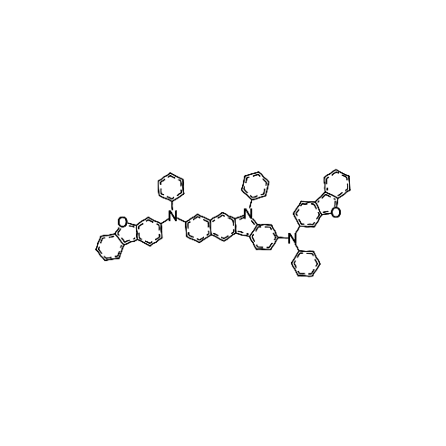 c1ccc(N(c2ccc3cc4c5ccc(N(c6ccccc6)c6ccc7c(c6)oc6ccccc67)cc5n(-c5ccccc5)c4cc3c2)c2ccc3c(c2)oc2ccccc23)cc1